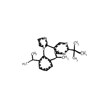 CC(C)c1cccc(C(C)C)c1-n1ccnc1-c1cnc(C(C)(C)C)nc1